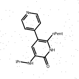 CCCCCc1[nH]c(=O)c(NC(C)C)cc1-c1ccncc1